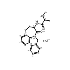 CNC(C)C(=O)NC1CCc2ccccc2N(Cc2ccncc2)C1=O.Cl